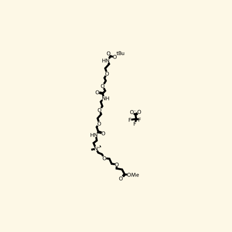 COC(=O)CCOCCOCC[N+](C)(C)CCNC(=O)COCCOCCNC(=O)COCCOCCNC(=O)OC(C)(C)C.O=C([O-])C(F)(F)F